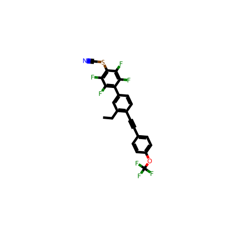 CCc1cc(-c2c(F)c(F)c(SC#N)c(F)c2F)ccc1C#Cc1ccc(OC(F)(F)F)cc1